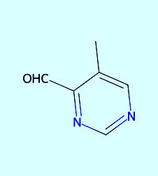 Cc1cncnc1C=O